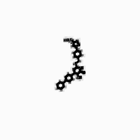 N#Cc1c(-c2ccc(-c3ccccc3)cc2)nc(SCc2ccc(-n3cc(C(=O)O)nn3)cc2)[nH]c1=O